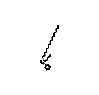 CCCCCCCCCCCCCCCCCN1C=CN(c2ccccc2)C1CCCC